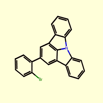 Brc1ccccc1-c1cc2c3ccccc3n3c4ccccc4c(c1)c23